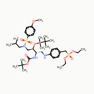 CCOP(=O)(Cc1ccc(NC[C@H](NC(=O)OC(C)(C)C)[C@@H](CN(CC(C)C)S(=O)(=O)c2ccc(OC)cc2)O[Si](C)(C)C(C)(C)C)cc1)OCC